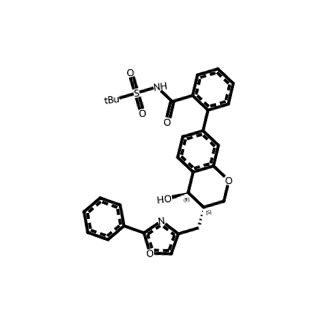 CC(C)(C)S(=O)(=O)NC(=O)c1ccccc1-c1ccc2c(c1)OC[C@H](Cc1coc(-c3ccccc3)n1)[C@H]2O